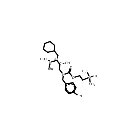 CC(C)(C)N(C(=O)O)[C@@H](CC1CCCCC1)[C@H](O)CN(Cc1ccc(C#N)cc1)C(=O)OCC[Si](C)(C)C